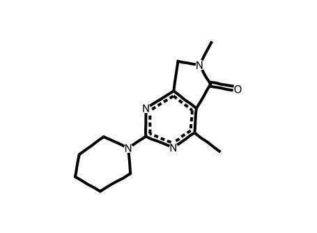 Cc1nc(N2CCCCC2)nc2c1C(=O)N(C)C2